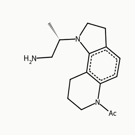 CC(=O)N1CCCc2c1ccc1c2N([C@@H](C)CN)CC1